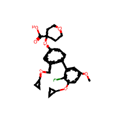 COc1cc(OC2CC2)c(F)c(-c2ccc(OC3(C(=O)O)CCOCC3)cc2COC2CC2)c1